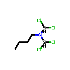 CCCCN([SiH](Cl)Cl)[SiH](Cl)Cl